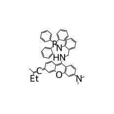 CCC(C)=C=c1ccc2c(c1)Oc1cc(N(C)C)ccc1C=2NCc1ccccc1N=P(c1ccccc1)(c1ccccc1)c1ccccc1